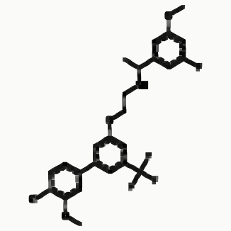 COc1cc(F)cc(C(C)NCCOc2cc(-c3ccc(Cl)c(OC)c3)cc(C(F)(F)F)c2)c1